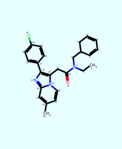 CCN(CC1C=CC=CC1)C(=O)Cc1c(-c2ccc(Cl)cc2)nc2cc(C)ccn12